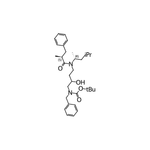 CC(C)C[C@@H](C)N(CCC(O)CN(Cc1ccccc1)C(=O)OC(C)(C)C)C(=O)[C@@H](C)Cc1ccccc1